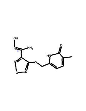 Cc1ccc(CSc2nonc2/C(N)=N/O)[nH]c1=O